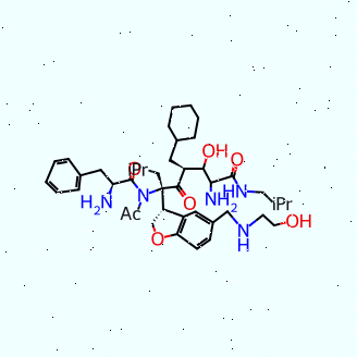 CC(=O)N(C(=O)[C@@H](N)Cc1ccccc1)[C@](CC(C)C)(C(=O)[C@@H](CC1CCCCC1)C(O)C(N)C(=O)NCC(C)C)[C@H]1COc2ccc(CNCCO)cc21